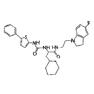 O=C(Nc1ccc(-c2ccccc2)s1)NC(CC1CCCCC1)C(=O)NCCN1CCc2cc(F)ccc21